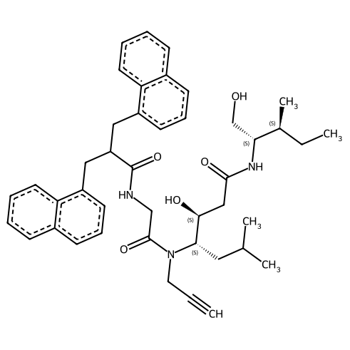 C#CCN(C(=O)CNC(=O)C(Cc1cccc2ccccc12)Cc1cccc2ccccc12)[C@@H](CC(C)C)[C@@H](O)CC(=O)N[C@H](CO)[C@@H](C)CC